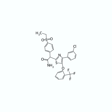 CCS(=O)(=O)c1ccc(C(C(N)=O)c2nc(-c3cccc(Cl)c3)c(Oc3ccccc3C(F)(F)F)s2)cc1